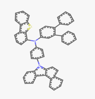 c1ccc(-c2ccc(N(c3ccc(-n4c5ccccc5c5c6ccccc6ccc54)cc3)c3cccc4c3sc3ccccc34)cc2-c2ccccc2)cc1